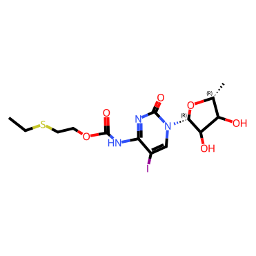 CCSCCOC(=O)Nc1nc(=O)n([C@@H]2O[C@H](C)C(O)C2O)cc1I